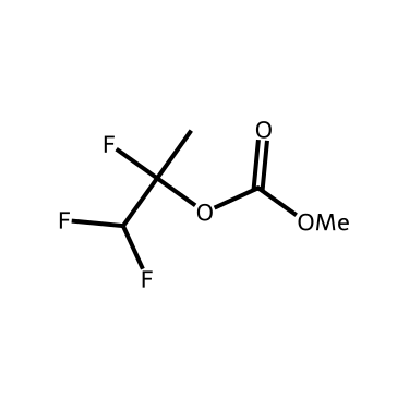 COC(=O)OC(C)(F)C(F)F